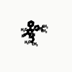 Cc1c(-c2ccccc2)c(N2CC[C@H](N(C)C)C2)n2nc(CC(C)C)nc2c1C#N